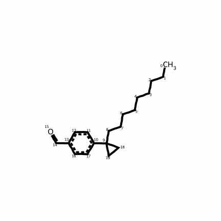 CCCCCCCCCC1(c2ccc(C=O)cc2)CC1